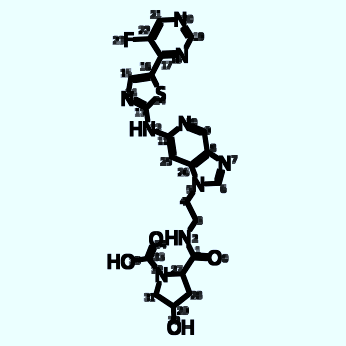 O=C(NCCn1cnc2cnc(Nc3ncc(-c4ncncc4F)s3)cc21)C1CC(O)CN1C(=O)O